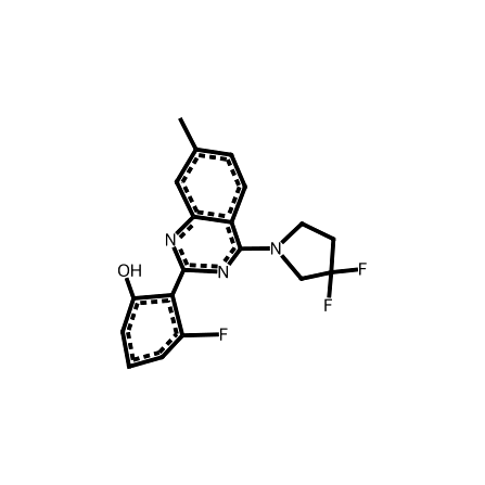 Cc1ccc2c(N3CCC(F)(F)C3)nc(-c3c(O)cccc3F)nc2c1